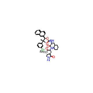 COC(=O)[C@H](C[C@@H]1CCNC1=O)NC(=O)[C@H](CC1CCCCC1)NC(=O)OC(c1ccc2ccccc2c1)C(C)(C)c1cccc(Cl)c1